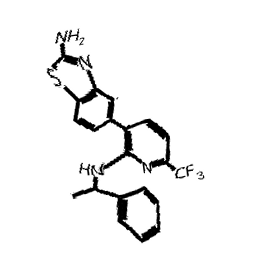 CC(Nc1nc(C(F)(F)F)ccc1-c1[c]c2nc(N)sc2cc1)c1ccccc1